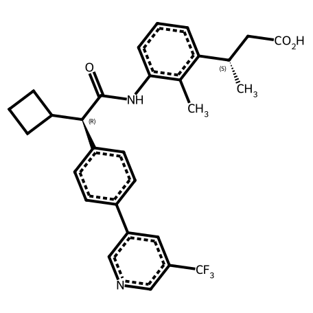 Cc1c(NC(=O)[C@@H](c2ccc(-c3cncc(C(F)(F)F)c3)cc2)C2CCC2)cccc1[C@@H](C)CC(=O)O